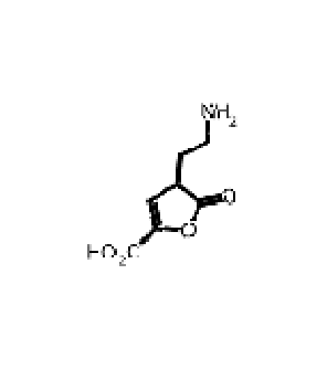 NCCC1C=C(C(=O)O)OC1=O